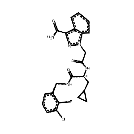 NC(=O)c1nn(CC(=O)N[C@@H](CC2CC2)C(=O)NCc2cccc(Cl)c2F)c2ccccc12